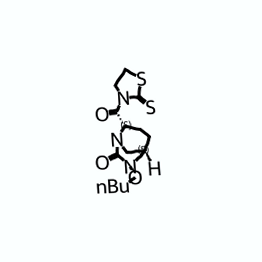 CCCCON1C(=O)N2C[C@@H]1CC[C@H]2C(=O)N1CCSC1=S